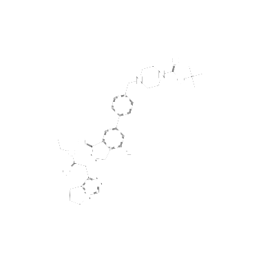 CCOC(=O)C(c1ncn2c1CCC2)N1Cc2c(F)cc(-c3ccc(CN4CCN(C(=O)OC(C)(C)C)CC4)cc3)cc2C1=O